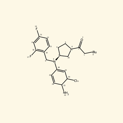 CCC(C)CC(=O)N1CC[C@H](N(Cc2ccc(F)cc2F)C2=CC(Cl)C(N)C=C2)C1